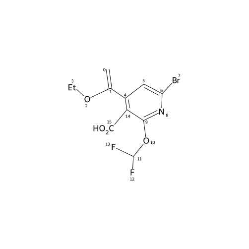 C=C(OCC)c1cc(Br)nc(OC(F)F)c1C(=O)O